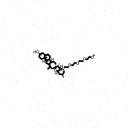 COCCOCCOCCOCCN1C[C@@H](C)C[C@H]2O[C@]3(CC[C@@H]4C(=C(C)C3)C[C@H]3C4CC=C4C[C@@H](O)CCC43C)[C@H](C)[C@@H]21